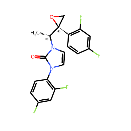 C[C@@H](n1ccn(-c2ccc(F)cc2F)c1=O)[C@]1(c2ccc(F)cc2F)CO1